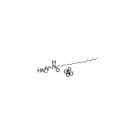 CCCCCCCCCCCCCCCCCC(=O)NCC[N+]1=CNCC1.COS(=O)(=O)[O-]